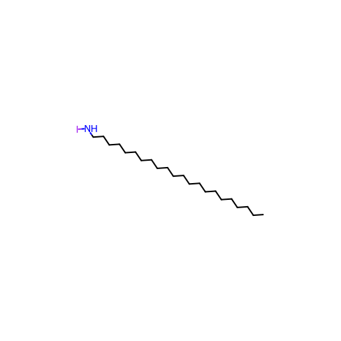 CCCCCCCCCCCCCCCCCCCCCCNI